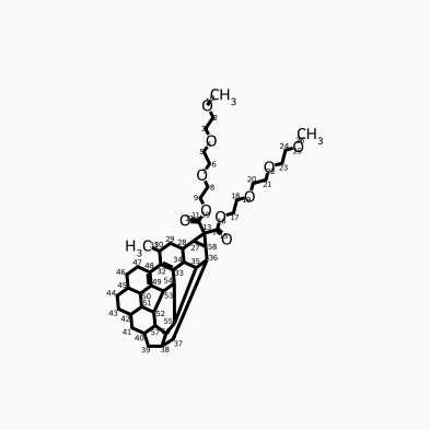 COCCOCCOCCOC(=O)C1(C(=O)OCCOCCOCCOC)C2C3CC(C)C4=C5C3C3C(CC6CC7CC8CCC9CCC4=C4C9C8C8C4C5C3C6C78)C21